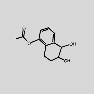 CC(=O)Oc1cccc2c1CCC(O)C2O